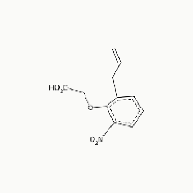 C=CCc1cccc([N+](=O)[O-])c1OCC(=O)O